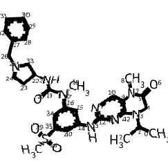 CC(C)N1CC(=O)N(C)c2cnc(Nc3cc(N(C)C(=O)N[C@H]4CCN(Cc5ccccc5)C4)cc(S(C)(=O)=O)c3)nc21